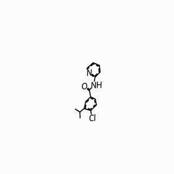 CC(C)c1cc(C(=O)Nc2ccccn2)ccc1Cl